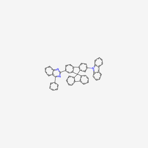 c1ccc(-c2nc(-c3ccc4c(c3)C3(c5ccccc5-c5ccccc53)c3cc(-n5c6ccccc6c6ccccc65)ccc3-4)nc3ccccc23)cc1